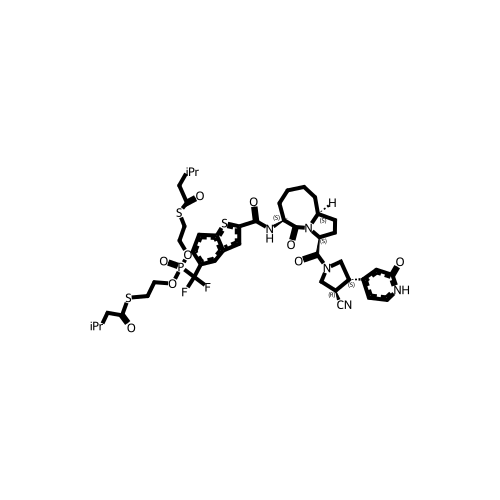 CC(C)CC(=O)SCCOP(=O)(OCCSC(=O)CC(C)C)C(F)(F)c1ccc2sc(C(=O)N[C@H]3CCCC[C@H]4CC[C@@H](C(=O)N5C[C@H](c6cc[nH]c(=O)c6)[C@@H](C#N)C5)N4C3=O)cc2c1